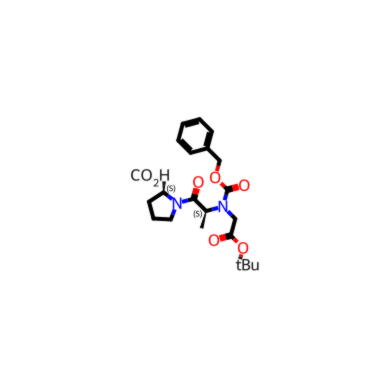 C[C@@H](C(=O)N1CCC[C@H]1C(=O)O)N(CC(=O)OC(C)(C)C)C(=O)OCc1ccccc1